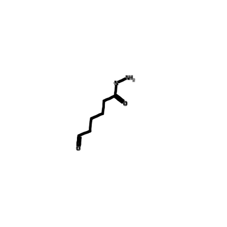 N[N]C(=O)CCCCC=O